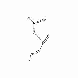 C/C=C/C(=O)O[N+](=O)[O-]